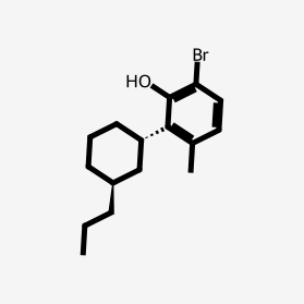 CCC[C@H]1CCC[C@H](c2c(C)ccc(Br)c2O)C1